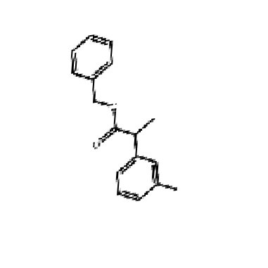 Cc1cccc(C(C)C(=O)OCc2ccccc2)c1